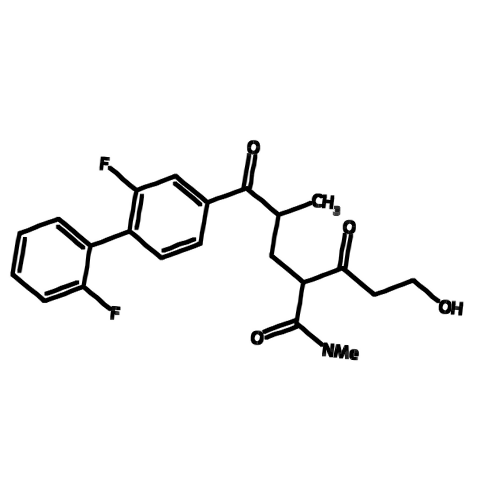 CNC(=O)C(CC(C)C(=O)c1ccc(-c2ccccc2F)c(F)c1)C(=O)CCO